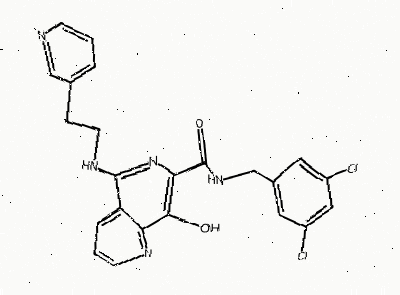 O=C(NCc1cc(Cl)cc(Cl)c1)c1nc(NCCc2cccnc2)c2cccnc2c1O